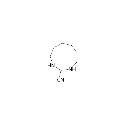 N#CC1NCCCCCCN1